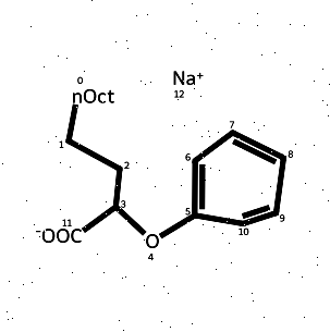 CCCCCCCCCCC(Oc1ccccc1)C(=O)[O-].[Na+]